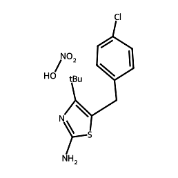 CC(C)(C)c1nc(N)sc1Cc1ccc(Cl)cc1.O=[N+]([O-])O